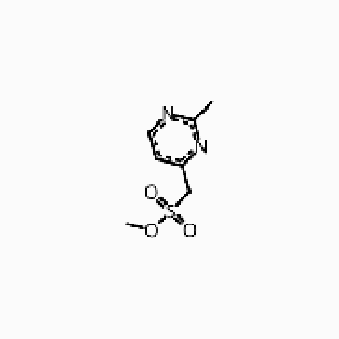 COS(=O)(=O)Cc1ccnc(C)n1